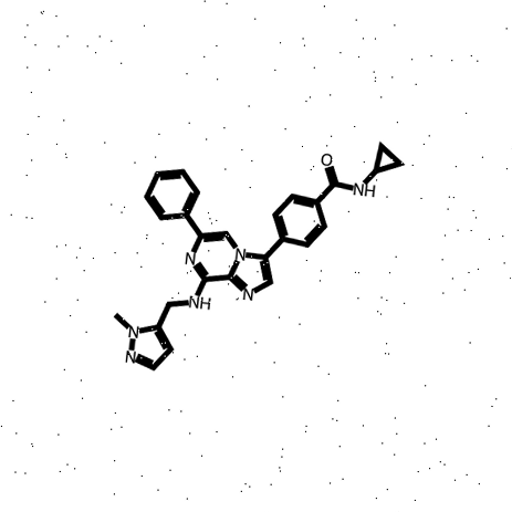 Cn1nccc1CNc1nc(-c2ccccc2)cn2c(-c3ccc(C(=O)NC4CC4)cc3)cnc12